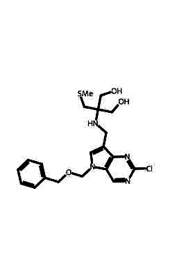 CSCC(CO)(CO)NCc1cn(COCc2ccccc2)c2cnc(Cl)nc12